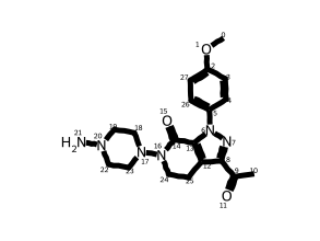 COc1ccc(-n2nc(C(C)=O)c3c2C(=O)N(N2CCN(N)CC2)CC3)cc1